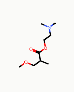 COCC(C)C(=O)OCCN(C)C